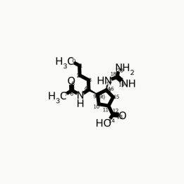 CCCCC(NC(C)=O)[C@@H]1CC(C(=O)O)C[C@H]1NC(=N)N